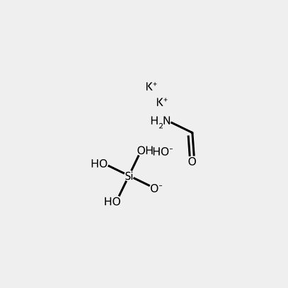 NC=O.[K+].[K+].[O-][Si](O)(O)O.[OH-]